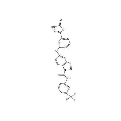 O=C(Nc1cccc(C(F)(F)F)c1)n1ccc2cc(Oc3ccnc(-c4n[nH]c(=O)o4)c3)ccc21